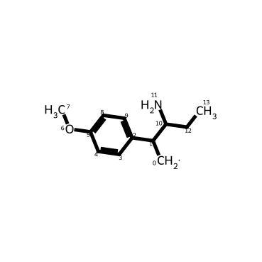 [CH2]C(c1ccc(OC)cc1)C(N)CC